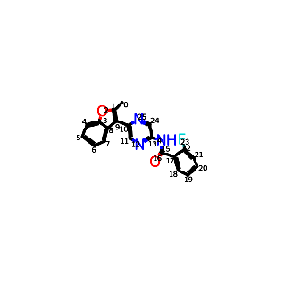 Cc1oc2ccccc2c1-c1cnc(NC(=O)c2ccccc2F)cn1